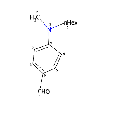 CCCCCCN(C)c1ccc(C=O)cc1